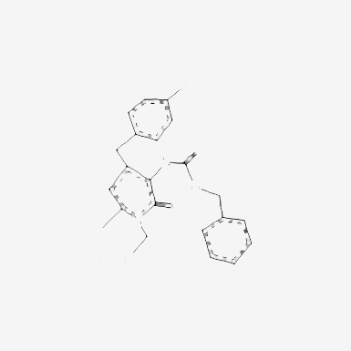 Cc1cc(Cc2ccc(F)cc2)c(NC(=O)OCc2ccccc2)c(=O)n1CC(=O)O